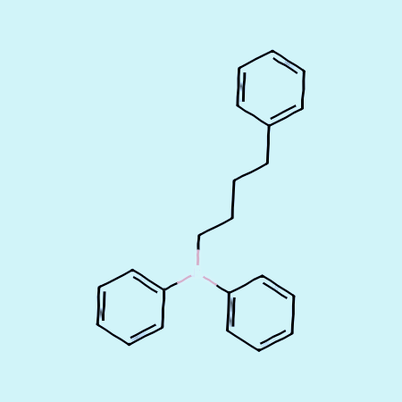 c1ccc(CCCCB(c2ccccc2)c2ccccc2)cc1